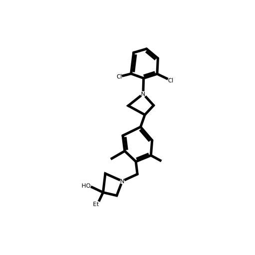 CCC1(O)CN(Cc2c(C)cc(C3CN(c4c(Cl)cccc4Cl)C3)cc2C)C1